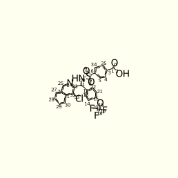 O=C(O)c1ccc(S(=O)(=O)NC(c2ccc(OC(F)(F)F)cc2)c2ncc3ccccc3c2Cl)cc1